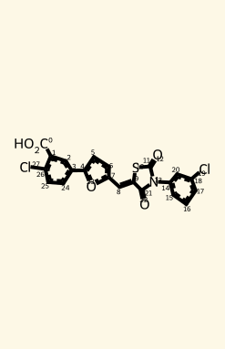 O=C(O)c1cc(-c2ccc(/C=C3\SC(=O)N(c4cccc(Cl)c4)C3=O)o2)ccc1Cl